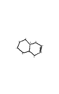 [C]1CCCN2CC=CCC12